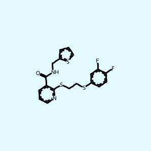 O=C(NCc1cccs1)c1cccnc1SCCSc1ccc(F)c(F)c1